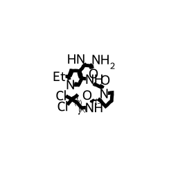 CCc1cc(C(=N)C(N)=O)c(NCC(=O)N2CCC[C@H]2C(=O)N[C@H](C)[C@H]2CC2(Cl)Cl)cn1